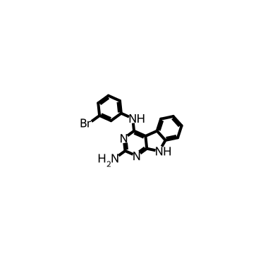 Nc1nc(Nc2cccc(Br)c2)c2c(n1)[nH]c1ccccc12